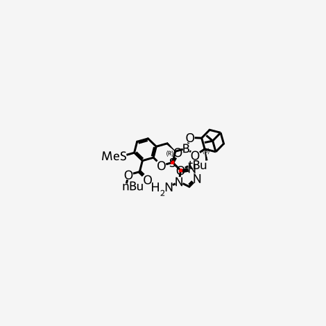 CCCCOC(=O)c1c(SC)ccc(C[C@H](Sc2nncn2N)B2OC3CC4CC(C4(C)C)[C@]3(C)O2)c1OC(=O)OC(C)(C)C